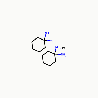 NC1(N)CCCCC1.NC1(N)CCCCC1.[Pt]